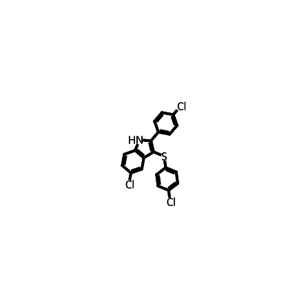 Clc1ccc(Sc2c(-c3ccc(Cl)cc3)[nH]c3ccc(Cl)cc23)cc1